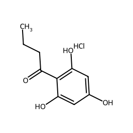 CCCC(=O)c1c(O)cc(O)cc1O.Cl